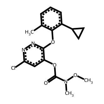 CON(C)C(=O)Oc1cc(Cl)nnc1Oc1c(C)cccc1C1CC1